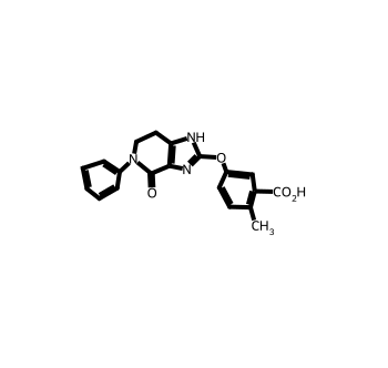 Cc1ccc(Oc2nc3c([nH]2)CCN(c2ccccc2)C3=O)cc1C(=O)O